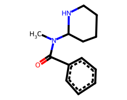 CN(C(=O)c1ccccc1)C1CCCCN1